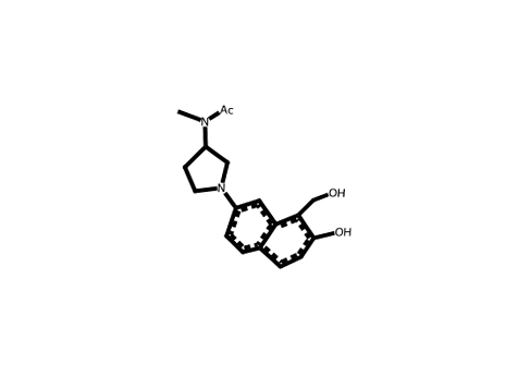 CC(=O)N(C)C1CCN(c2ccc3ccc(O)c(CO)c3c2)C1